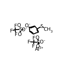 CSc1cccc([O-])c1.O=S(=O)([O-])C(F)(F)F.O=S(=O)([O-])C(F)(F)F.[Al+3]